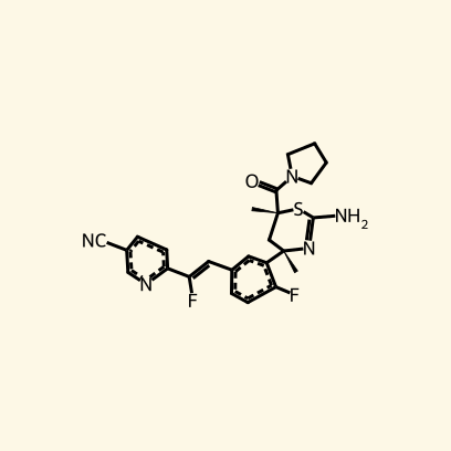 C[C@]1(C(=O)N2CCCC2)C[C@@](C)(c2cc(/C=C(\F)c3ccc(C#N)cn3)ccc2F)N=C(N)S1